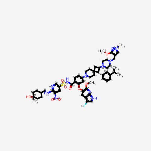 COc1nn(C)cc1CN1CCN(C2CC3(CCN(c4ccc(C(=O)NS(=O)(=O)c5cnc(NCC6CCC(C)(O)CC6)c([N+](=O)[O-])c5)c(Oc5cc6c(F)c[nH]c6nc5OC)c4)CC3)C2)[C@H](c2ccccc2C(C)C)C1